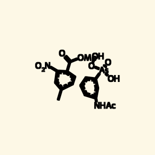 CC(=O)Nc1cccc([As](=O)(O)OO)c1.COC(=O)c1ccc(C)cc1[N+](=O)[O-]